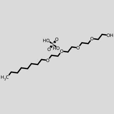 CCCCCCCCOCCOCCOCCOCCO.O=S(=O)(O)O